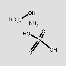 N.O=C(O)O.O=S(=O)(O)O